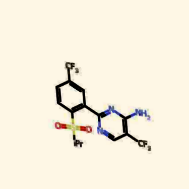 CC(C)S(=O)(=O)c1ccc(C(F)(F)F)cc1-c1ncc(C(F)(F)F)c(N)n1